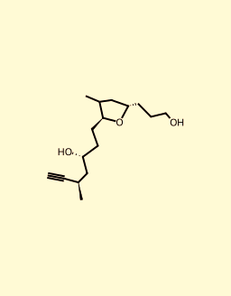 C#C[C@H](C)C[C@H](O)CC[C@@H]1O[C@@H](CCCO)CC1C